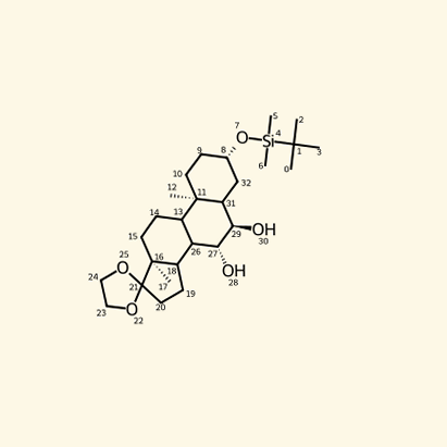 CC(C)(C)[Si](C)(C)O[C@H]1CC[C@]2(C)C3CC[C@@]4(C)C(CCC45OCCO5)C3[C@@H](O)[C@H](O)C2C1